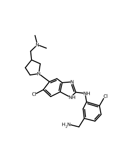 CN(C)CC1CCN(c2cc3nc(Nc4cc(CN)ccc4Cl)[nH]c3cc2Cl)C1